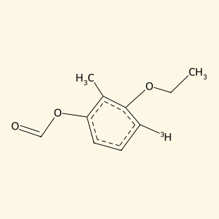 [3H]c1ccc(OC=O)c(C)c1OCC